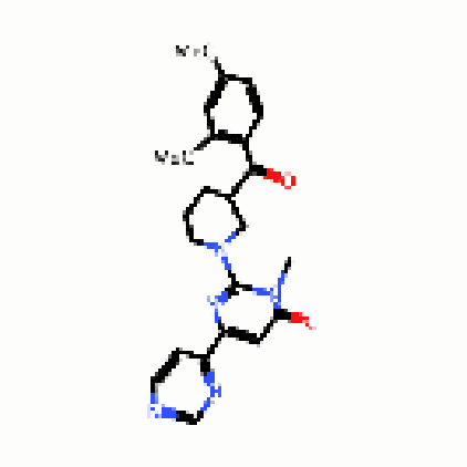 COc1ccc(C(=O)C2CCCN(c3nc(-c4ccncn4)cc(=O)n3C)C2)c(OC)c1